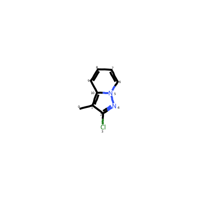 Cc1c(Cl)nn2ccccc12